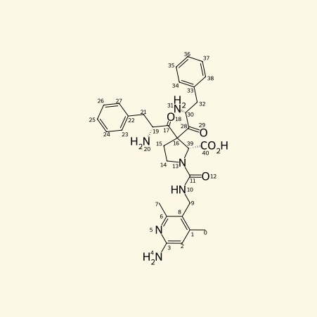 Cc1cc(N)nc(C)c1CNC(=O)N1CCC(C(=O)[C@H](N)Cc2ccccc2)(C(=O)[C@H](N)Cc2ccccc2)[C@@H]1C(=O)O